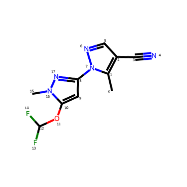 Cc1c(C#N)cnn1-c1cc(OC(F)F)n(C)n1